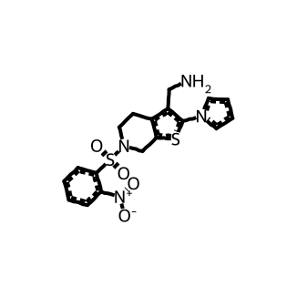 NCc1c(-n2cccc2)sc2c1CCN(S(=O)(=O)c1ccccc1[N+](=O)[O-])C2